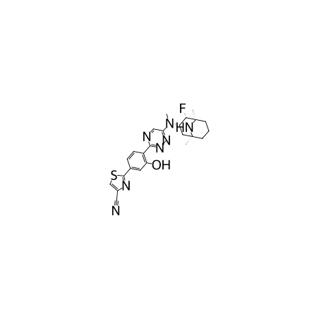 CN(c1cnc(-c2ccc(-c3nc(C#N)cs3)cc2O)nn1)[C@H]1C[C@]2(C)CCC[C@@](C)(N2)[C@H]1F